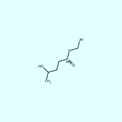 CC(C)CO[PH](=O)CCC(C)O